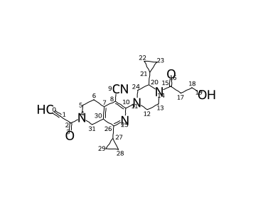 C#CC(=O)N1CCc2c(C#N)c(N3CCN(C(=O)CCO)C(C4CC4)C3)nc(C3CC3)c2C1